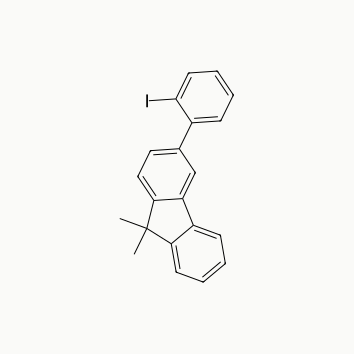 CC1(C)c2ccccc2-c2cc(-c3ccccc3I)ccc21